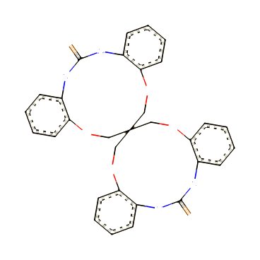 S=C1Nc2ccccc2OCC2(COc3ccccc3N1)COc1ccccc1NC(=S)Nc1ccccc1OC2